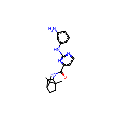 CC1(C)C2CCC1(C)C(NC(=O)c1ccnc(Nc3cccc(N)c3)n1)C2